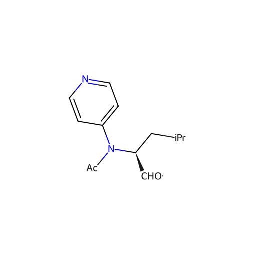 CC(=O)N(c1ccncc1)[C@H]([C]=O)CC(C)C